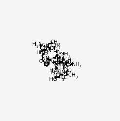 CC(C)C[C@H](NC(=O)[C@H](CC(C)C)NC(=O)CNC(=O)[C@@H]1CCCN1C(=O)[C@H](CCCNC(=N)N)NC(=O)[C@H](CC(=O)O)NC(=O)[C@@H](NC(=O)[C@H](CC(N)=O)NC(=O)[C@@H](NC(=O)[C@@H](N)CC(=O)O)C(C)C)[C@@H](C)O)C(=O)O